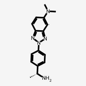 C[C@@H](N)c1ccc(-n2nc3[c]c(N(C)C)ccc3n2)cc1